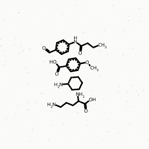 CCCC(=O)Nc1ccc(C=O)cc1.COc1ccc(C(=O)O)cc1.NC1CCCCC1.NCCCC(N)C(=O)O